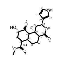 COC(=O)C1C[C@H](O)C(=O)C2[C@@]1(C)CCC1C(=O)O[C@H](c3ccoc3)C[C@@]12C